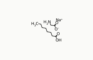 CCCCCCCC(=O)O.NCC(=O)[O-].[Na+]